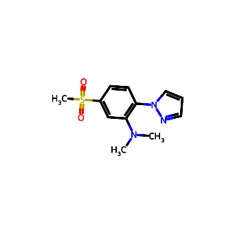 CN(C)c1cc(S(C)(=O)=O)ccc1-n1cccn1